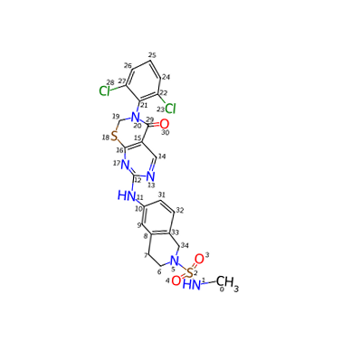 CNS(=O)(=O)N1CCc2cc(Nc3ncc4c(n3)SCN(c3c(Cl)cccc3Cl)C4=O)ccc2C1